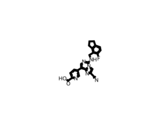 N#Cc1cn2c(NCc3c(F)ccc4c3CCC4)ncc(-c3ccc(C(=O)O)nc3)c2n1